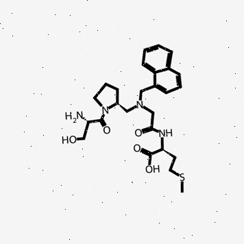 CSCC[C@H](NC(=O)CN(Cc1cccc2ccccc12)C[C@@H]1CCCN1C(=O)[C@@H](N)CO)C(=O)O